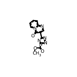 COC(=O)n1nnc(-c2cnc3ccccn3c2=O)n1